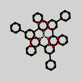 c1ccc(-c2cc(-c3ccccc3)c(OP(Oc3c(-c4ccccc4)cc(-c4ccccc4)cc3-c3ccccc3)Oc3c(-c4ccccc4)cc(-c4ccccc4)cc3-c3ccccc3)c(-c3ccccc3)c2)cc1